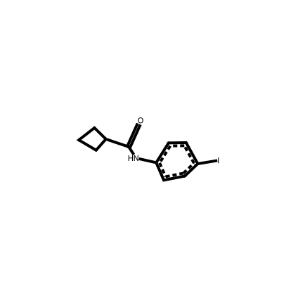 O=C(Nc1ccc(I)cc1)[C]1CCC1